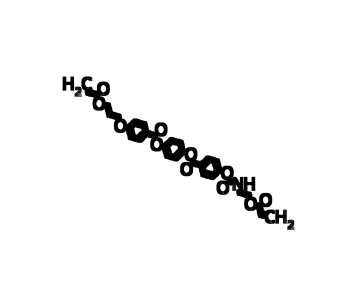 C=CC(=O)OCCCOc1ccc(C(=O)OC2=CC=C(OC(=O)c3ccc(OC(=O)NCCOC(=O)C=C)cc3)CC2)cc1